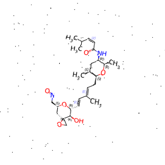 CC(/C=C/[C@H]1O[C@H](CN=O)C[C@@]2(CO2)[C@@H]1O)=C\C[C@@H]1O[C@H](C)[C@H](NC(=O)/C=C\C(C)C)C[C@@H]1C